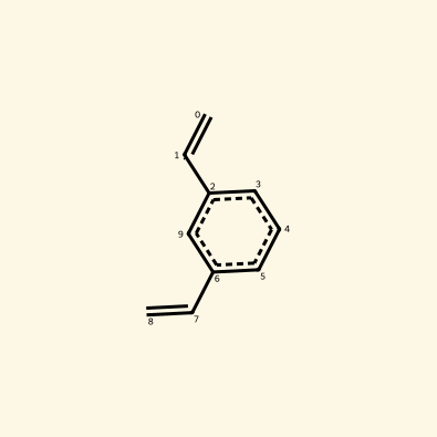 C=[C]c1cccc(C=C)c1